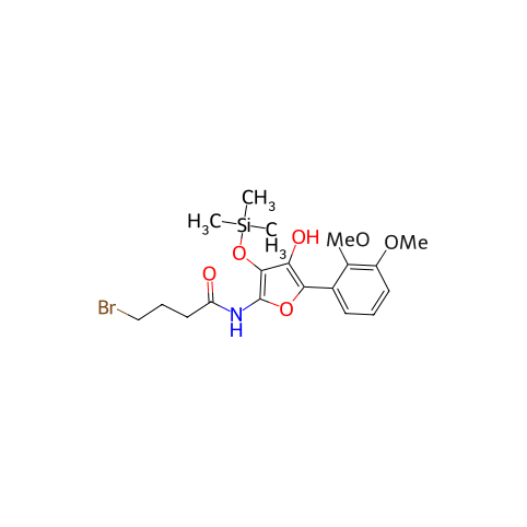 COc1cccc(-c2oc(NC(=O)CCCBr)c(O[Si](C)(C)C)c2O)c1OC